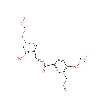 C=CCc1cc(C(=O)C=Cc2ccc(OCOC)cc2O)ccc1OCOC